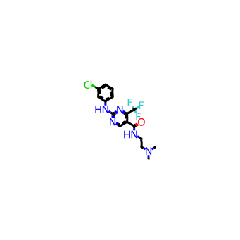 CN(C)CCNC(=O)c1cnc(Nc2cccc(Cl)c2)nc1C(F)(F)F